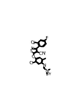 Cc1cc(Oc2snc(-c3ccc(F)cc3Cl)c2C#N)c(Cl)cc1N=CN(C)C(C)C